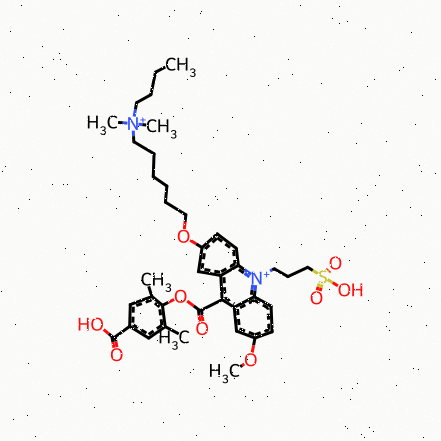 CCCC[N+](C)(C)CCCCCCOc1ccc2c(c1)c(C(=O)Oc1c(C)cc(C(=O)O)cc1C)c1cc(OC)ccc1[n+]2CCCS(=O)(=O)O